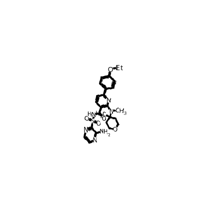 CCOc1ccc(-c2ccc(C(=O)NS(=O)(=O)c3nccnc3N)c(N(C)C3(C)CCOCC3)n2)cc1